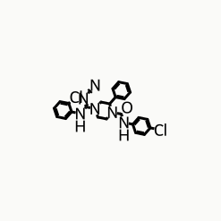 N#C/N=C(/Nc1ccccc1Cl)N1CCN(C(=O)Nc2ccc(Cl)cc2)C(c2ccccc2)C1